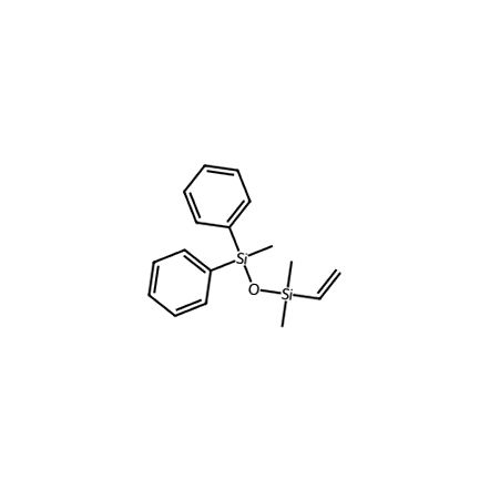 C=C[Si](C)(C)O[Si](C)(c1ccccc1)c1ccccc1